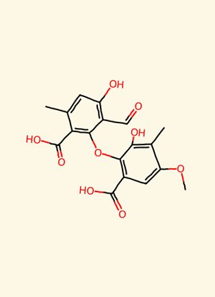 COc1cc(C(=O)O)c(Oc2c(C=O)c(O)cc(C)c2C(=O)O)c(O)c1C